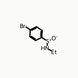 CCN[S+]([O-])c1ccc(Br)cc1